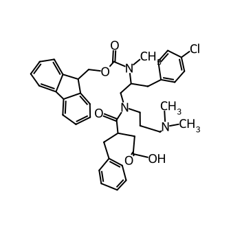 CN(C)CCCN(CC(Cc1ccc(Cl)cc1)N(C)C(=O)OCC1c2ccccc2-c2ccccc21)C(=O)C(CC(=O)O)Cc1ccccc1